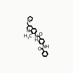 Cc1c(NC(=O)c2ccc(NC(=O)c3ccccc3)cc2)ccc2cc(CN3CCCC3)cnc12